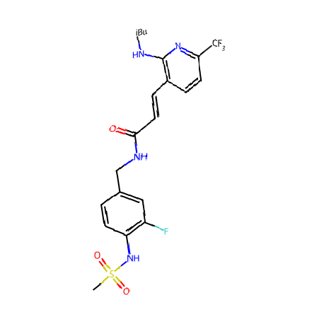 CCC(C)Nc1nc(C(F)(F)F)ccc1C=CC(=O)NCc1ccc(NS(C)(=O)=O)c(F)c1